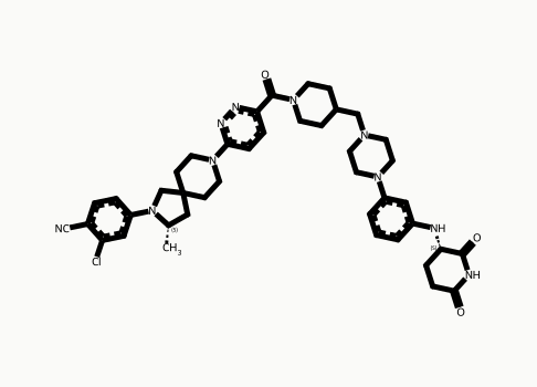 C[C@H]1CC2(CCN(c3ccc(C(=O)N4CCC(CN5CCN(c6cccc(N[C@H]7CCC(=O)NC7=O)c6)CC5)CC4)nn3)CC2)CN1c1ccc(C#N)c(Cl)c1